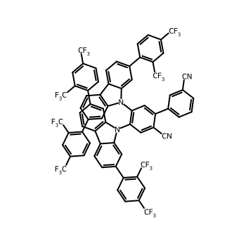 N#Cc1cccc(-c2cc(-n3c4cc(-c5ccc(C(F)(F)F)cc5C(F)(F)F)ccc4c4ccc(-c5ccc(C(F)(F)F)cc5C(F)(F)F)cc43)c(-n3c4cc(-c5ccc(C(F)(F)F)cc5C(F)(F)F)ccc4c4ccc(-c5ccc(C(F)(F)F)cc5C(F)(F)F)cc43)cc2C#N)c1